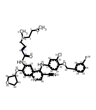 COCCN(C)C/C=C/C(=O)Nc1cc2c(Nc3ccc(OCc4cccc(F)c4)c(Cl)c3)c(C#N)cnc2cc1O[C@H]1CCOC1